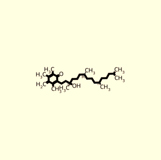 C=C1C(C)=C(C)C(=O)C(CC[C@](C)(O)CCC[C@H](C)CCC[C@H](C)CCCC(C)C)=C1C